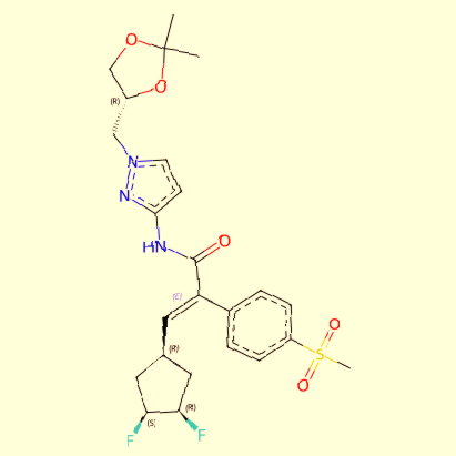 CC1(C)OC[C@@H](Cn2ccc(NC(=O)/C(=C/[C@H]3C[C@@H](F)[C@@H](F)C3)c3ccc(S(C)(=O)=O)cc3)n2)O1